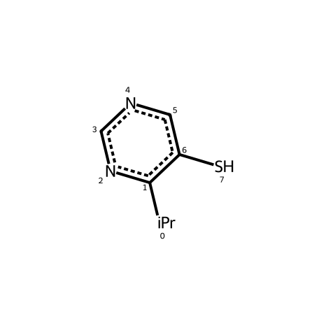 CC(C)c1ncncc1S